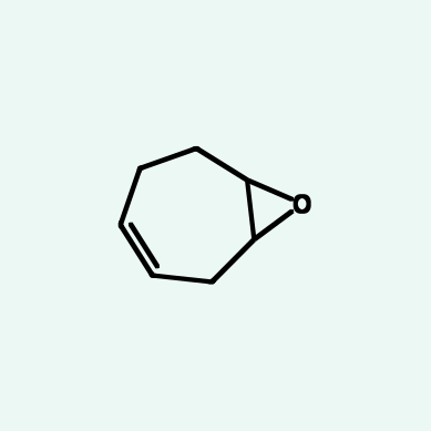 C1=CCC2OC2CC1